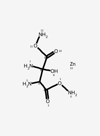 NOC(=O)C(N)C(N)(O)C(=O)ON.[Zn]